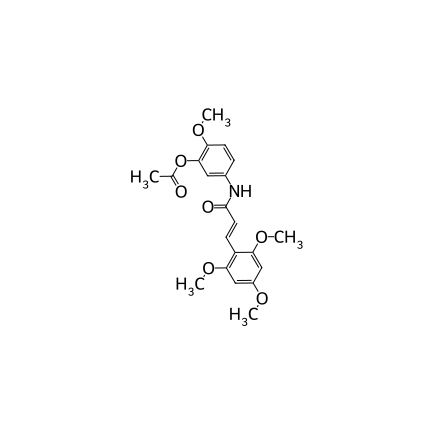 COc1cc(OC)c(C=CC(=O)Nc2ccc(OC)c(OC(C)=O)c2)c(OC)c1